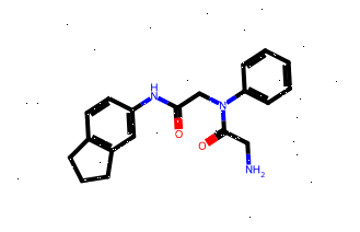 NCC(=O)N(CC(=O)Nc1ccc2c(c1)CCC2)c1ccccc1